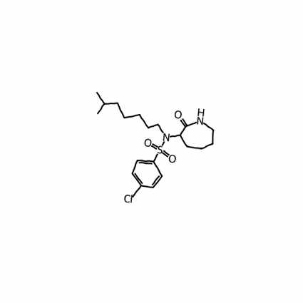 CC(C)CCCCCN(C1CCCCNC1=O)S(=O)(=O)c1ccc(Cl)cc1